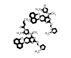 C[C@@H]1C[C@@H](N(C)c2nc(OC[C@@H]3CCCN3C)nc3c2CCN(c2cccc4cccc(Cl)c24)C3)CN1.C[C@@H]1C[C@@H](N(C)c2nc(OC[C@@H]3CCCN3C)nc3c2CCN(c2cccc4cccc(Cl)c24)C3)CN1C(=O)/C=C/C(=O)O